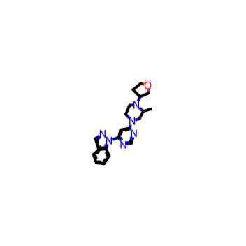 CC1CN(c2cc(-n3ncc4ccccc43)ncn2)CCN1C1CCOC1